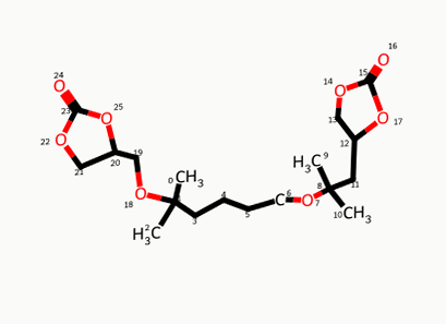 CC(C)(CCCCOC(C)(C)CC1COC(=O)O1)OCC1COC(=O)O1